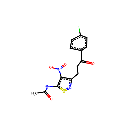 CC(=O)Nc1snc(CCC(=O)c2ccc(Cl)cc2)c1[N+](=O)[O-]